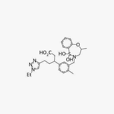 CCn1cc(CCC(CC(=O)O)c2ccc(C)c(CN3CC(C)Oc4ccccc4S3(O)O)c2)nn1